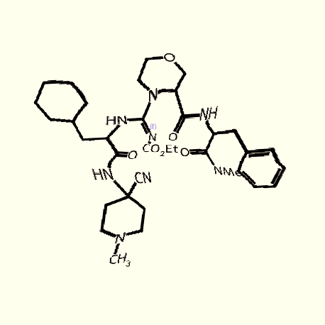 CCOC(=O)/N=C(\NC(CC1CCCCC1)C(=O)NC1(C#N)CCN(C)CC1)N1CCOCC1C(=O)NC(Cc1ccccc1)C(=O)NC